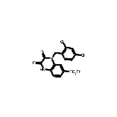 CCOC(=O)c1ccc2[nH]c(=O)c(=O)n(Cc3ccc(Cl)cc3Cl)c2c1